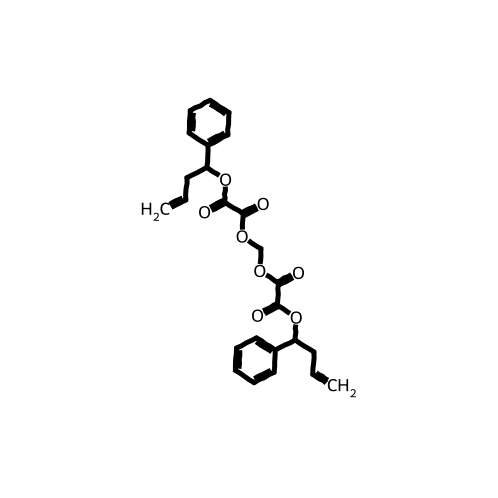 C=CCC(OC(=O)C(=O)OCOC(=O)C(=O)OC(CC=C)c1ccccc1)c1ccccc1